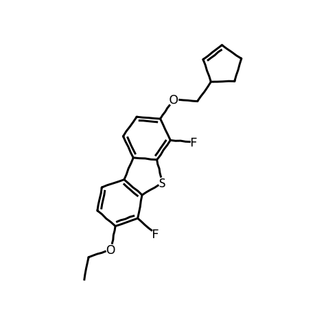 CCOc1ccc2c(sc3c(F)c(OCC4C=CCC4)ccc32)c1F